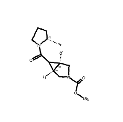 C[C@H]1CCCN1C(=O)C1[C@H]2CN(C(=O)OC(C)(C)C)C[C@@H]12